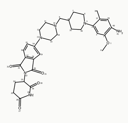 COc1cc(N2CCC(CN3CCN(c4ccc5c(c4)C(=O)N(C4CCC(=O)NC4=O)C5=O)CC3)CC2)c(C)cc1N